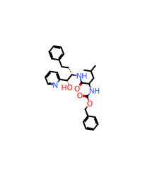 CC(C)CC(NC(=O)OCc1ccccc1)C(=O)N[C@@H](CCc1ccccc1)[C@H](O)c1ccccn1